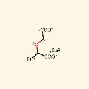 CCC(OCC(=O)[O-])C(=O)[O-].[Ba+2]